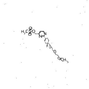 COCCOCCOC[C@]1(F)CC=C(c2nccc(COS(C)(=O)=O)n2)CC1